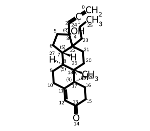 C=C=C[C@]1(O)CC[C@H]2[C@@H]3CCC4=CC(=O)CC[C@@H]4[C@@]3(C)CCC21CCC